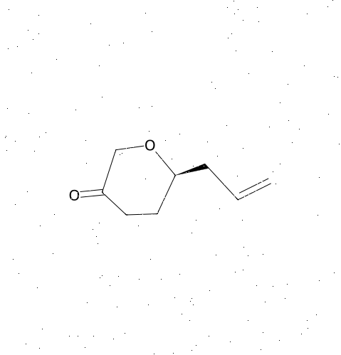 C=CC[C@H]1CCC(=O)CO1